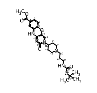 COC(=O)c1ccc2c(c1)Nc1nc(=O)n(C3CCN(CCCNC(=O)OC(C)(C)C)CC3)cc1O2